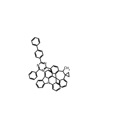 CC1c2ccc(-c3nc(-c4ccccc4)nc(-c4ccc(-c5ccccc5)cc4)n3)cc2C2(c3ccccc3-n3c4ccccc4c4cccc2c43)c2ccccc2C12CC2